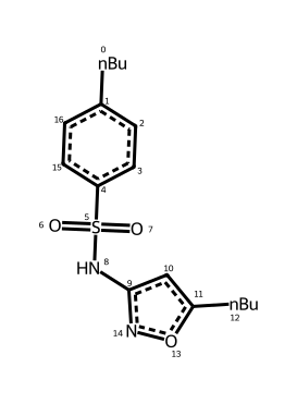 CCCCc1ccc(S(=O)(=O)Nc2cc(CCCC)on2)cc1